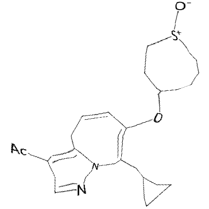 CC(=O)c1cnn2c(C3CC3)c(OC3CC[S+]([O-])CC3)ccc12